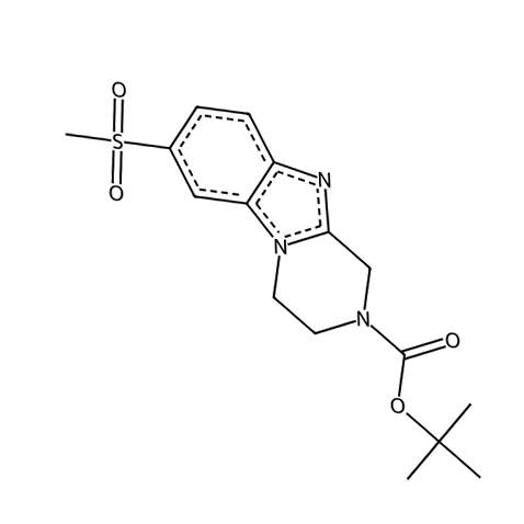 CC(C)(C)OC(=O)N1CCn2c(nc3ccc(S(C)(=O)=O)cc32)C1